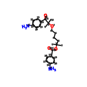 CC(C)(CCCCOC(C)(C)C(=O)c1ccc(N)cc1)OC(=O)c1ccc(N)cc1